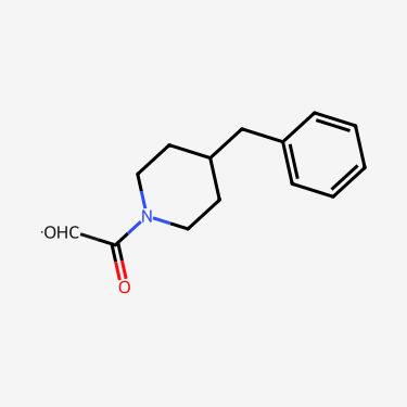 O=[C]C(=O)N1CCC(Cc2ccccc2)CC1